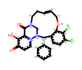 O=C1c2c(O)c(=O)ccn2N2CN1CC/C=C/COc1c(ccc(Cl)c1Cl)[C@@H]2c1ccccc1